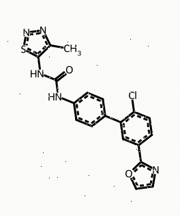 Cc1nnsc1NC(=O)Nc1ccc(-c2cc(-c3ncco3)ccc2Cl)cc1